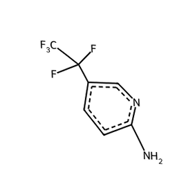 Nc1ccc(C(F)(F)C(F)(F)F)cn1